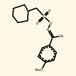 COc1ccc(/C(C#N)=N/OS(=O)(=O)CC2CCCCC2)cc1